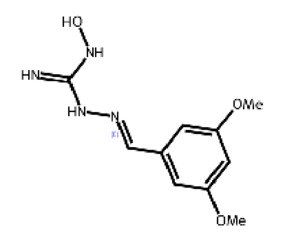 COc1cc(/C=N/NC(=N)NO)cc(OC)c1